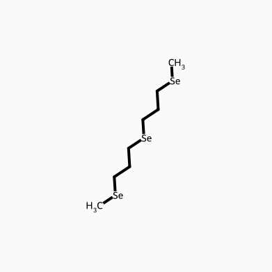 C[Se]CCC[Se]CCC[Se]C